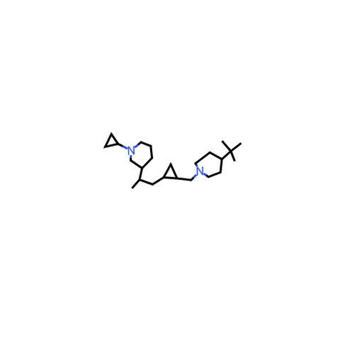 CC(CC1CC1CN1CCC(C(C)(C)C)CC1)C1CCCN(C2CC2)C1